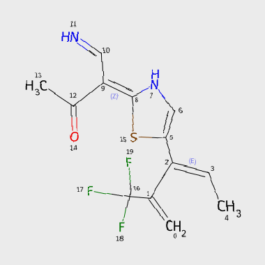 C=C(/C(=C\C)C1=CN/C(=C(\C=N)C(C)=O)S1)C(F)(F)F